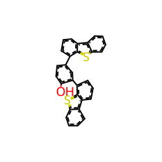 Oc1ccc(-c2cccc3c2sc2ccccc23)cc1-c1cccc2c1sc1ccccc12